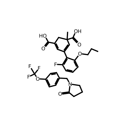 CCCOc1cccc(F)c1C1=CC(C)(C(=O)O)CC(C(=O)O)=C1.O=C1CCCN1Cc1ccc(OC(F)(F)F)cc1